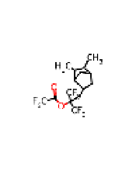 CC1C2CC(CC(OC(=O)C(F)(F)F)(C(F)(F)F)C(F)(F)F)C(C2)C1C